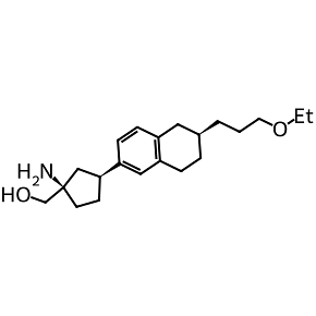 CCOCCC[C@H]1CCc2cc([C@H]3CC[C@](N)(CO)C3)ccc2C1